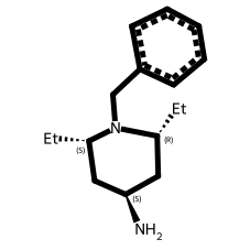 CC[C@@H]1C[C@@H](N)C[C@H](CC)N1Cc1ccccc1